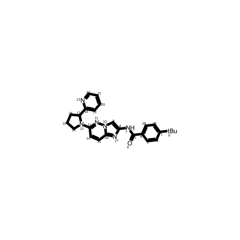 CC(C)(C)c1ccc(C(=O)Nc2cn3nc(N4CCCC4c4ccccn4)ccc3n2)cc1